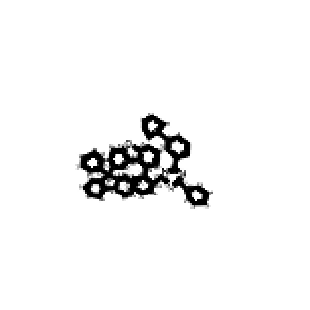 c1ccc(-c2cccc(-c3nc(-c4ccccc4)nc(-c4ccccc4-c4cccc5oc6ccc(C7(c8ccccc8)c8ccccc8-c8ccccc87)cc6c45)n3)c2)cc1